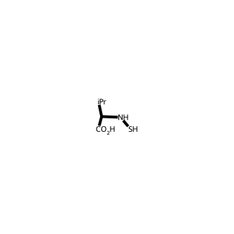 CC(C)C(NS)C(=O)O